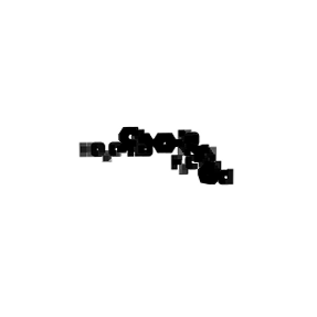 O=C(O)CC1CCCN(CC(O)c2ccc(-c3noc(-c4cnn(-c5cccc(Cl)n5)c4C(F)(F)F)n3)cc2)C1